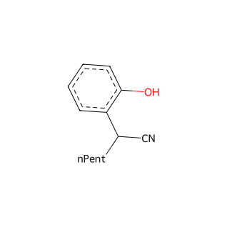 CCCCCC(C#N)c1ccccc1O